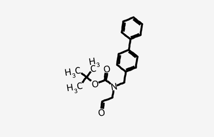 CC(C)(C)OC(=O)N(CC=O)Cc1ccc(-c2ccccc2)cc1